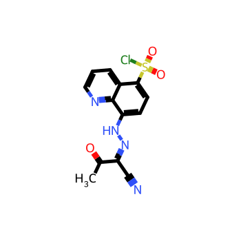 CC(=O)C(C#N)=NNc1ccc(S(=O)(=O)Cl)c2cccnc12